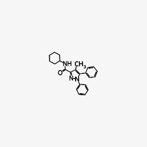 Cc1c(C(=O)NC2CCCCC2)nn(-c2ccccc2)c1-c1ccccc1